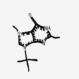 Cc1nc2c(c(=O)[nH]1)[n+](C)cn2C(C)(C)C